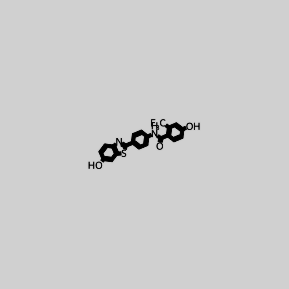 O=C(Nc1ccc(-c2nc3ccc(O)cc3s2)cc1)c1ccc(O)cc1C(F)(F)F